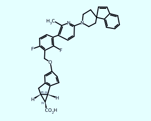 Cc1nc(N2CCC3(C=Cc4ccccc43)CC2)ccc1-c1ccc(F)c(COc2ccc3c(c2)C[C@H]2[C@H](C(=O)O)[C@@H]32)c1F